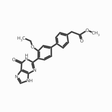 CCOc1cc(-c2ccc(CC(=O)OC)cc2)ccc1-c1nc2[nH]cnc2c(=O)[nH]1